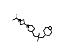 CC(C)N1CC(N2CCC(CC(C)(C)CC3CCOCC3)C2)C1